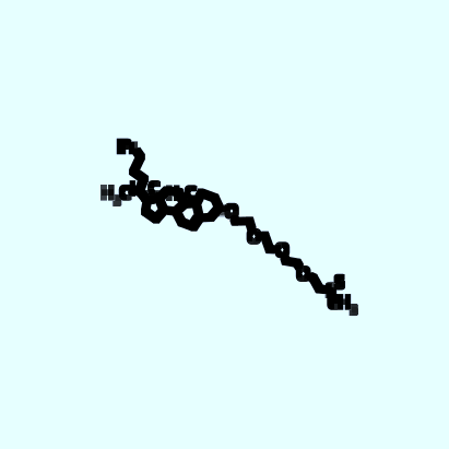 CC(C)CCCC(C)C1CCC2C3CC=C4C[C@@H](OCCOCCOCCOCCS(C)=S)CCC4(C)C3CCC12C